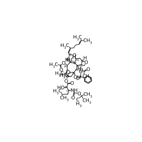 CC(=O)O[C@@H]1C2=C(C)[C@@H](OC(=O)[C@H](O)[C@H](CC(C)C)NC(=O)OC(C)(C)C)C[C@@](O)([C@@H](OC(=O)c3ccccc3)[C@@H]3[C@]4(OC(C)=O)CO[C@@H]4C[C@@H]4O[C@H](C=C(C)CCC=C(C)C)O[C@@H]1[C@]43C)C2(C)C